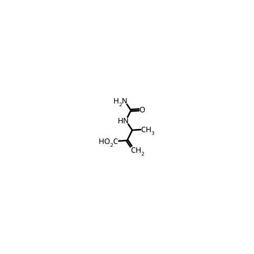 C=C(C(=O)O)C(C)NC(N)=O